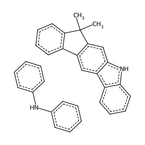 CC1(C)c2ccccc2-c2cc3c(cc21)[nH]c1ccccc13.c1ccc(Nc2ccccc2)cc1